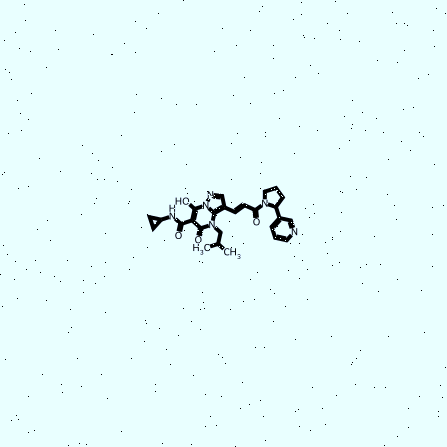 CC(C)Cn1c(=O)c(C(=O)NC2CC2)c(O)n2ncc(C=CC(=O)N3CCCC3c3cccnc3)c12